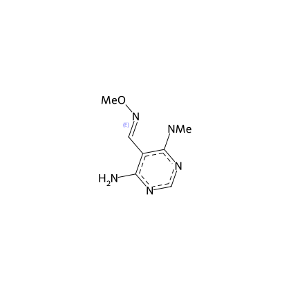 CNc1ncnc(N)c1/C=N/OC